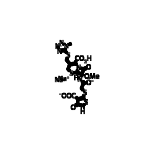 CO[C@@]1(N=C([O-])CSc2s[nH]c(=O)c2C(=O)[O-])C(=O)N2C(C(=O)O)=C(CSc3nnnn3C)CS[C@@H]21.[Na+].[Na+]